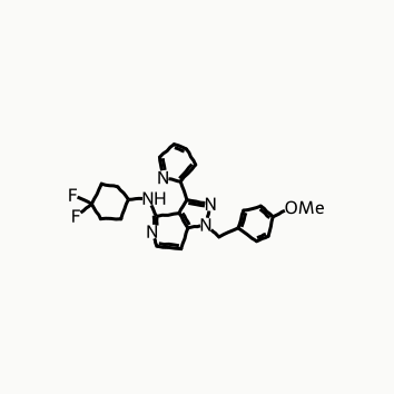 COc1ccc(Cn2nc(-c3ccccn3)c3c(NC4CCC(F)(F)CC4)nccc32)cc1